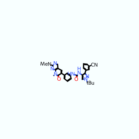 CNc1ncc2cc(-c3cccc(NC(=O)Nc4cn(C(C)(C)C)nc4-c4cccc(C#N)c4)c3)c(=O)n(C)c2n1